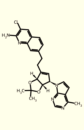 Cc1ncnc2c1ccn2[C@@H]1C=C(CCc2ccc3cc(Cl)c(N)nc3c2)[C@H]2OC(C)(C)O[C@H]21